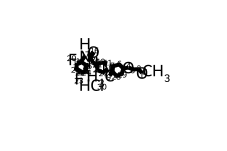 COCCOC1CCC(C)(N2CCC(n3c(=O)[nH]c4c(F)cc(F)cc43)CC2)CC1.Cl